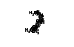 Cn1cc(-c2cc3cc(NC(=O)C4CCN(CC(=O)OC(C)(C)C)CC4)ncc3cn2)cn1